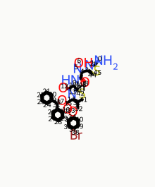 Nc1nc(C(=NO)C(=O)NC2C(=O)N3C(C(=O)OC(c4ccccc4)c4ccccc4)=C(COc4ccc(Br)cc4)CS[C@@H]23)cs1